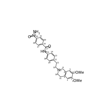 COc1cc2c(cc1OC)CN(CCc1ccc(NC(=O)c3[c]cc([N+](N)=O)cc3)cc1)CC2